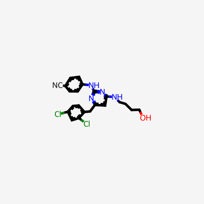 N#Cc1ccc(Nc2nc(Cc3ccc(Cl)cc3Cl)cc(NCCCCO)n2)cc1